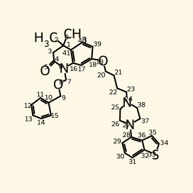 CC1(C)CC(=O)N(COCc2ccccc2)c2cc(OCCCCN3CCN(c4cccc5sccc45)CC3)ccc21